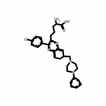 CC(CCCc1nc2c(nc1-c1ccc(Cl)cc1)=CCC(CN1CCN(c3ccccc3)CC1)C=2)C(=O)O